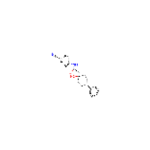 N#Cc1ccc(NC(=O)C[C@]2(O)CC[C@@H](c3ccccc3)CC2)cc1